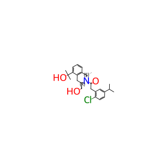 CC(C)c1ccc(Cl)c(CC(=O)N2[C@@H](CO)Cc3c(cccc3C(C)(C)O)[C@@H]2C)c1